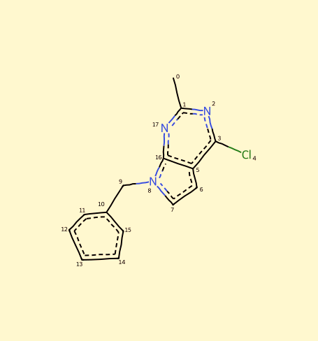 Cc1nc(Cl)c2ccn(Cc3ccccc3)c2n1